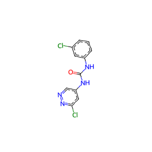 O=C(Nc1cccc(Cl)c1)Nc1cnnc(Cl)c1